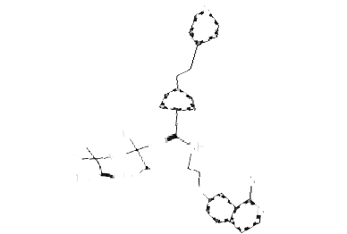 Nc1nccc2ccc(OCCNC(=O)c3ccc(CCc4ccncc4)cc3)cc12.O=C(O)C(F)(F)F.O=C(O)C(F)(F)F